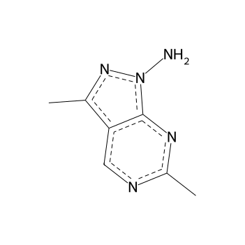 Cc1ncc2c(C)nn(N)c2n1